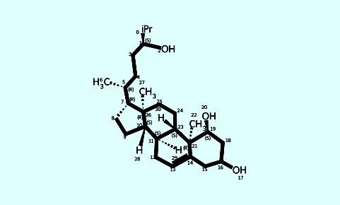 CC(C)[C@@H](O)CC[C@@H](C)[C@H]1CC[C@H]2[C@@H]3CC=C4CC(O)C[C@H](O)[C@]4(C)[C@H]3CC[C@]12C